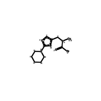 CC(C)C(=O)N(C)Cc1csc(N2CCCCC2)n1